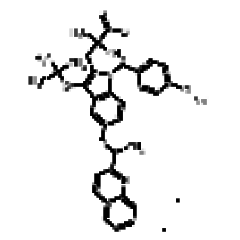 CC(Oc1ccc2c(c1)c(SC(C)(C)C)c(CC(C)(C)C(=O)[O-])n2Cc1ccc(Cl)cc1)c1ccc2ccccc2n1.[Na+]